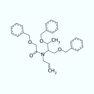 C=CCN(C(=O)COCc1ccccc1)C(COCc1ccccc1)C(C)OCc1ccccc1